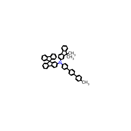 Cc1ccc(-c2ccc(-c3ccc(N(c4ccc5c(c4)C(C)(C)c4ccccc4-5)c4ccc5c(c4)C4(c6ccccc6-c6ccccc64)c4ccccc4-5)cc3)cc2)cc1